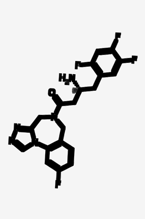 N[C@@H](CC(=O)N1Cc2ccc(F)cc2-n2cnnc2C1)Cc1cc(F)c(F)cc1F